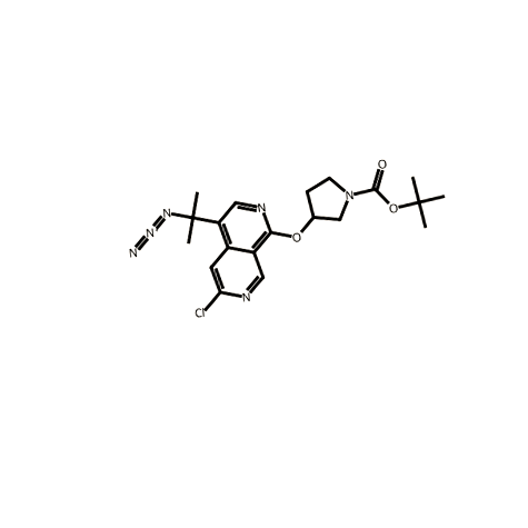 CC(C)(C)OC(=O)N1CCC(Oc2ncc(C(C)(C)N=[N+]=[N-])c3cc(Cl)ncc23)C1